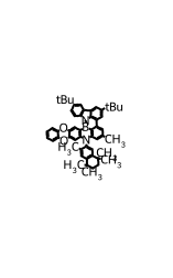 Cc1cc2c3c(c1)N(c1cc4c(cc1C)C(C)(C)CCC4(C)C)c1cc4c(cc1B3n1c3ccc(C(C)(C)C)cc3c3cc(C(C)(C)C)cc-2c31)Oc1ccccc1O4